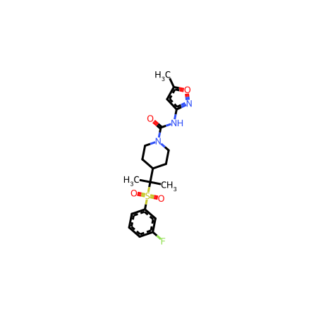 Cc1cc(NC(=O)N2CCC(C(C)(C)S(=O)(=O)c3cccc(F)c3)CC2)no1